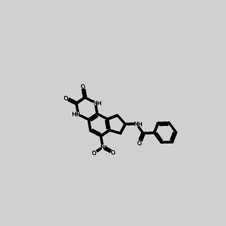 O=C(NC1Cc2c([N+](=O)[O-])cc3[nH]c(=O)c(=O)[nH]c3c2C1)c1ccccc1